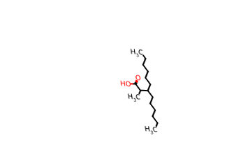 CCCCCCC(CCCCCC)C(C)C(=O)O